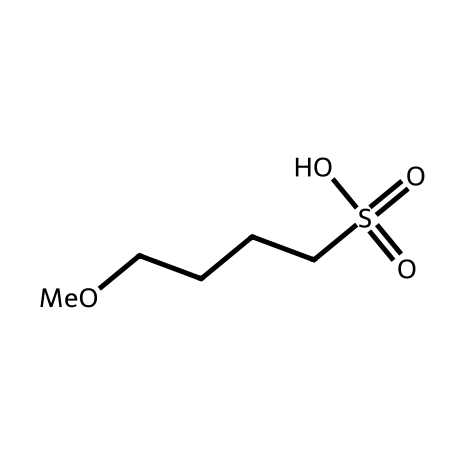 [CH2]OCCCCS(=O)(=O)O